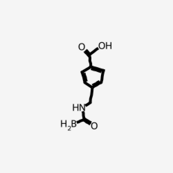 BC(=O)NCc1ccc(C(=O)O)cc1